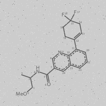 COCC(C)NC(=O)c1cnc2c(C3=CCC(F)(F)CC3)cccc2c1